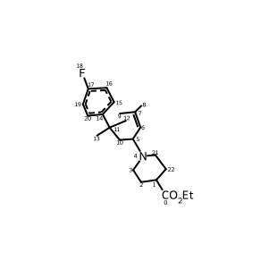 CCOC(=O)C1CCN(C(C=C(C)C)CC(C)(C)c2ccc(F)cc2)CC1